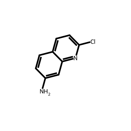 Nc1ccc2ccc(Cl)nc2c1